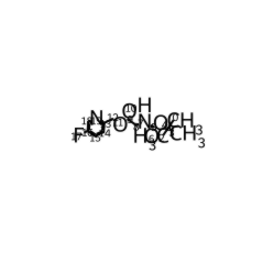 CC(C)(C)OC(=O)NCC(=O)OCc1ccc(F)cn1